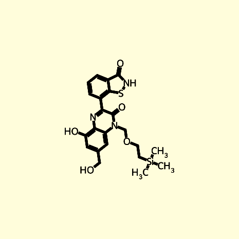 C[Si](C)(C)CCOCn1c(=O)c(-c2cccc3c(=O)[nH]sc23)nc2c(O)cc(CO)cc21